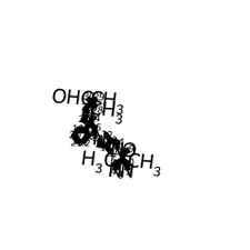 Cc1ncnc(C)c1C(=O)N1CC2CN(CCC3(c4ccccc4)CN(CC(C)(C)C=O)C3)CC2C1